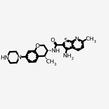 Cc1ccc2c(N)c(C(=O)N[C@H]3COc4cc(N5CCNCC5)ccc4[C@H]3C)sc2n1